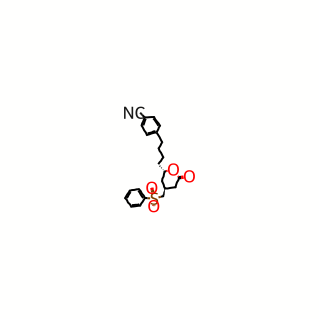 N#Cc1ccc(CCCC[C@H]2C[C@H](CS(=O)(=O)c3ccccc3)CC(=O)O2)cc1